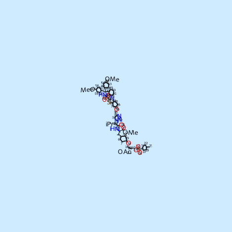 COC(=O)C(Cc1ccc(OC[C@@H](COS(=O)(=O)c2ccc(C)cc2)OC(C)=O)cc1)NC(=O)[C@H](C(C)C)n1cc(COc2ccc3nc(S(=O)(=O)NC(c4ccccc4)(c4ccc(OC)cc4)c4ccc(OC)cc4)sc3c2)nn1